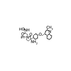 Cc1cc(COc2ccc(C3(N)CC[N@@+](CC(=O)NO)(C(C)C)C3=O)cc2)c2ccccc2n1